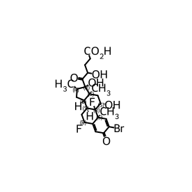 C[C@@H]1C[C@H]2[C@@H]3C[C@@H](F)C4=CC(=O)C(Br)=C[C@]4(C)[C@@]3(F)[C@@H](O)C[C@]2(C)[C@@]1(O)C(=O)C(O)CCC(=O)O